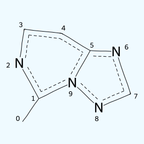 Cc1nccc2ncnn12